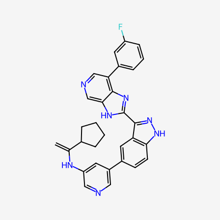 C=C(Nc1cncc(-c2ccc3[nH]nc(-c4nc5c(-c6cccc(F)c6)cncc5[nH]4)c3c2)c1)C1CCCC1